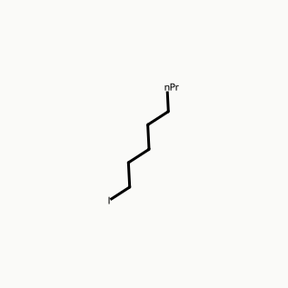 C[CH]CCCCCCI